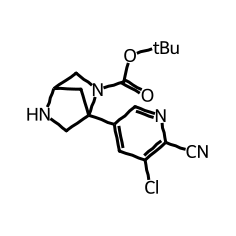 CC(C)(C)OC(=O)N1CC2CC1(c1cnc(C#N)c(Cl)c1)CN2